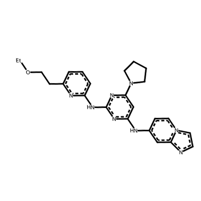 CCOCCc1cccc(Nc2nc(Nc3ccn4ccnc4c3)cc(N3CCCC3)n2)n1